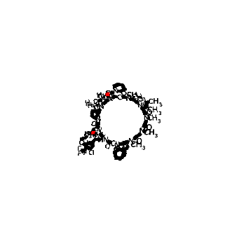 C=CCOC(=O)C[C@H]1C(=O)NC2(CCCC2)C(=O)N(C)[C@@H](C(C)C)C(=O)N(C)[C@H](C(=O)N2CCCCC2)CC(=O)N(C)[C@@H](C)C(=O)N[C@@H]([C@@H](C)CC)C(=O)N(C)CC(=O)N(C)CC(=O)N(C)[C@@H](CC2CCCCC2)C(=O)N(C)CC(=O)N[C@@H](CCc2ccc(C(F)(F)F)c(Cl)c2)C(=O)N1C